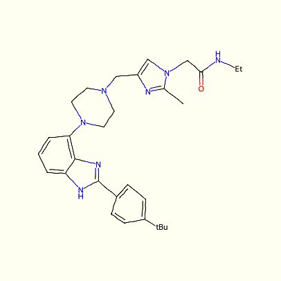 CCNC(=O)Cn1cc(CN2CCN(c3cccc4[nH]c(-c5ccc(C(C)(C)C)cc5)nc34)CC2)nc1C